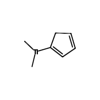 [CH3][Ti]([CH3])[C]1=CC=CC1